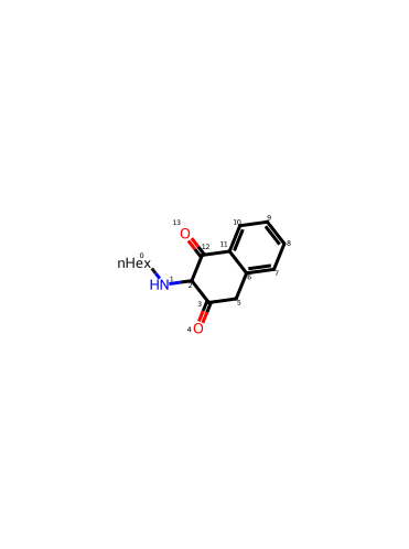 CCCCCCNC1C(=O)Cc2ccccc2C1=O